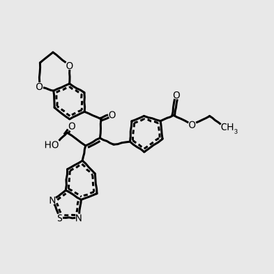 CCOC(=O)c1ccc(CC(C(=O)c2ccc3c(c2)OCCO3)=C(C(=O)O)c2ccc3nsnc3c2)cc1